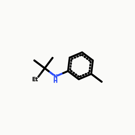 CCC(C)(C)Nc1cccc(C)c1